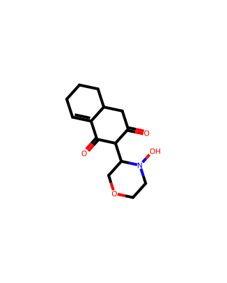 O=C1CC2CCCC=C2C(=O)C1C1COCCN1O